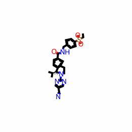 CCS(=O)(=O)c1ccc(CNC(=O)c2ccc3c(c2)CCN(c2ncc(C#N)cn2)[C@H]3C(C)C)cc1